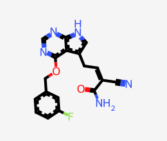 N#CC(=CCc1c[nH]c2ncnc(OCc3cccc(F)c3)c12)C(N)=O